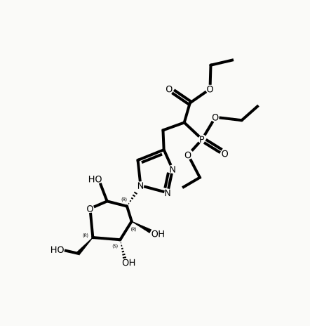 CCOC(=O)C(Cc1cn([C@H]2C(O)O[C@H](CO)[C@@H](O)[C@@H]2O)nn1)P(=O)(OCC)OCC